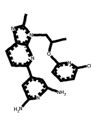 Cc1nc2ccc(-c3cc(N)nc(N)c3)nc2n1CC(C)Oc1cccc(Cl)n1